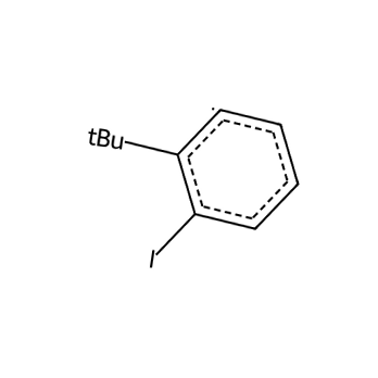 CC(C)(C)c1[c]cccc1I